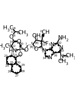 C#C[C@@]1(F)[C@H](O)[C@@H](COP(=S)(N[C@H](C)C(=O)OC(C)C)Oc2cccc3ccccc23)O[C@H]1n1cnc2c(N(C)C)nc(N)nc21